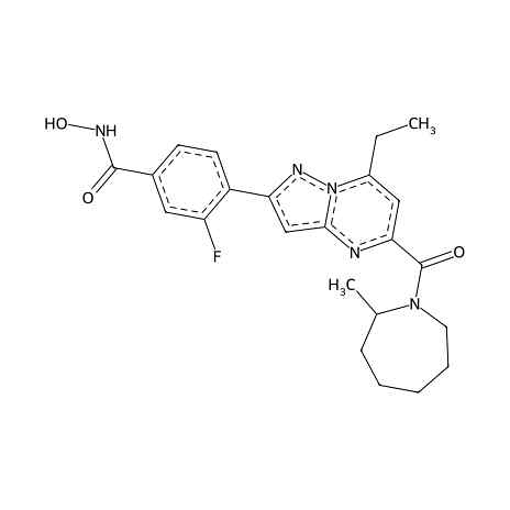 CCc1cc(C(=O)N2CCCCCC2C)nc2cc(-c3ccc(C(=O)NO)cc3F)nn12